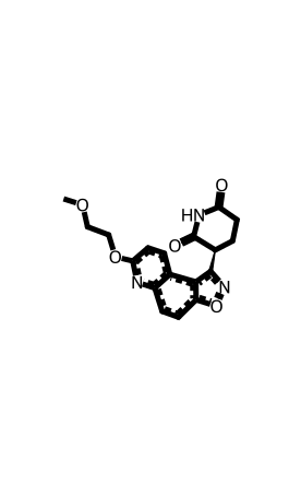 COCCOc1ccc2c(ccc3onc([C@@H]4CCC(=O)NC4=O)c32)n1